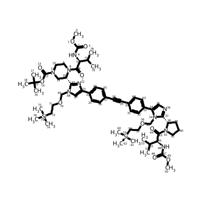 COC(=O)N[C@H](C(=O)N1CCN(C(=O)OC(C)(C)C)C[C@H]1c1nc(-c2ccc(C#Cc3ccc(-c4cnc([C@@H]5CCCN5C(=O)[C@@H](NC(=O)OC)C(C)C)n4COCC[Si](C)(C)C)cc3)cc2)cn1COCC[Si](C)(C)C)C(C)C